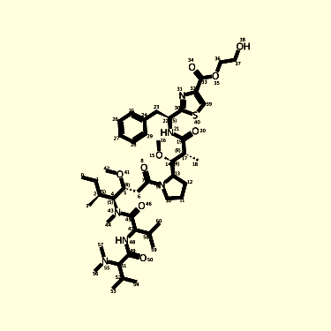 CC[C@H](C)[C@@H]([C@@H](CC(=O)N1CCCC1[C@H](OC)[C@@H](C)C(=O)N[C@@H](Cc1ccccc1)c1nc(C(=O)OCCO)cs1)OC)N(C)C(=O)C(NC(=O)C(C(C)C)N(C)C)C(C)C